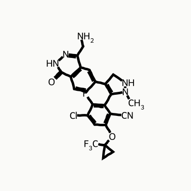 CN1NCC(c2ccc3c(=O)[nH]nc(CN)c3c2)=C1c1c(F)c(Cl)cc(OC2(C(F)(F)F)CC2)c1C#N